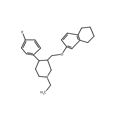 CCN1CCC(c2ccc(F)cc2)C(COc2ccc3c(c2)CCCC3)C1